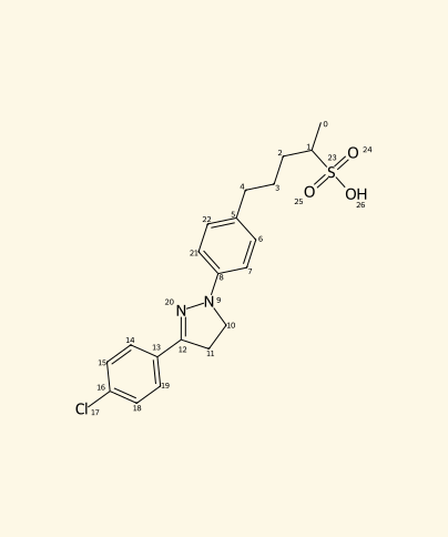 CC(CCCc1ccc(N2CCC(c3ccc(Cl)cc3)=N2)cc1)S(=O)(=O)O